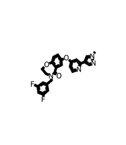 Cn1cc(-c2cc(Oc3ccc4c(c3)C(=O)N(Cc3cc(F)cc(F)c3)CCO4)ccn2)cn1